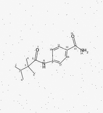 CC(C)C(C)(C)C(=O)Nc1ccc(C(N)=O)cc1